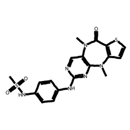 CN1C(=O)c2sccc2N(C)c2nc(Nc3ccc(NS(C)(=O)=O)cc3)ncc21